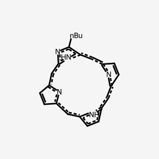 CCCCc1nc2cc3nc(cc4ccc(cc5nc(cc1[nH]2)C=C5)[nH]4)C=C3